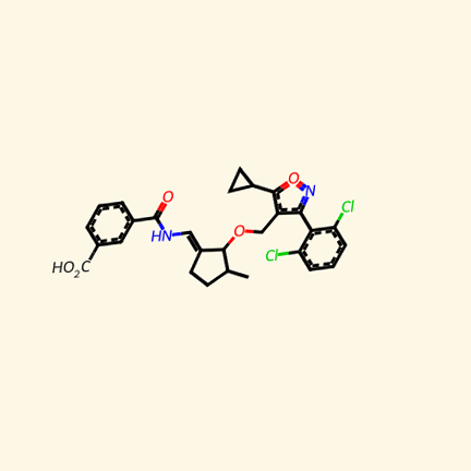 CC1CC/C(=C\NC(=O)c2cccc(C(=O)O)c2)C1OCc1c(-c2c(Cl)cccc2Cl)noc1C1CC1